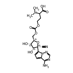 CN(C)C(CCOC(=O)OC[C@H]1O[C@@](C#N)(c2ccc3c(N)ncnn23)[C@H](O)[C@@H]1O)C(=O)O